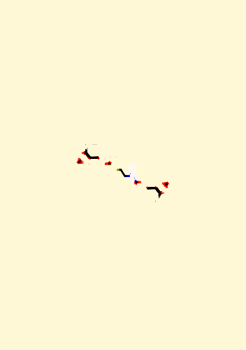 Cc1oc(=O)oc1COC(=O)NCCSC(=O)OCc1oc(=O)oc1C